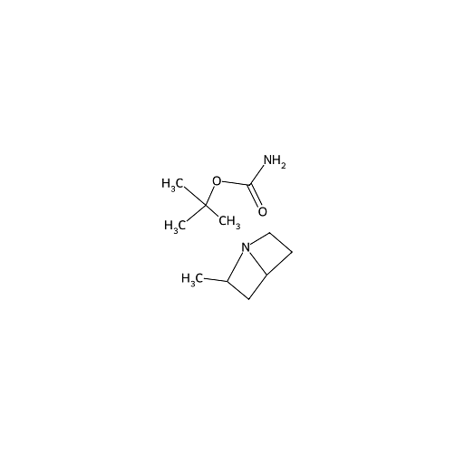 CC(C)(C)OC(N)=O.CC1CC2CCN12